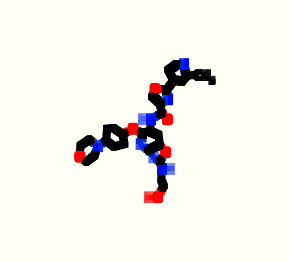 Cc1cc(-c2nc(C(=O)Nc3cc4oc(NCCO)nc4nc3OC3CCC(N4CCOCC4)CC3)co2)ccn1